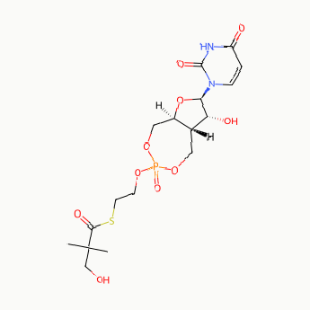 CC(C)(CO)C(=O)SCCOP1(=O)OC[C@H]2[C@@H](O)[C@H](n3ccc(=O)[nH]c3=O)O[C@@H]2CO1